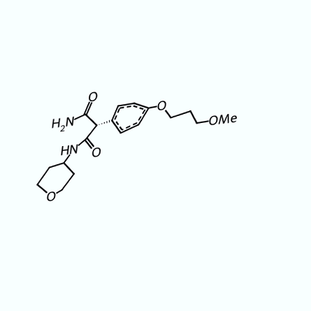 COCCCOc1ccc([C@@H](C(N)=O)C(=O)NC2CCOCC2)cc1